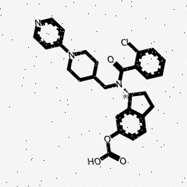 O=C(O)Oc1ccc2c(c1)[C@H](N(CC1CCN(c3ccncc3)CC1)C(=O)c1ccccc1Cl)CC2